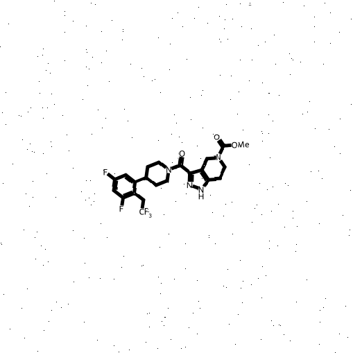 COC(=O)N1CCc2[nH]nc(C(=O)N3CCC(c4cc(F)cc(F)c4CC(F)(F)F)CC3)c2C1